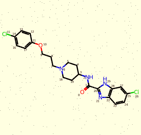 O=C(NC1CCN(CCCOc2ccc(Cl)cc2)CC1)c1nc2ccc(Cl)cc2[nH]1